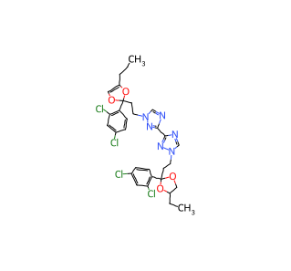 CCCC1=COC(CCn2cnc(-c3ncn(CCC4(c5ccc(Cl)cc5Cl)OCC(CC)O4)n3)n2)(c2ccc(Cl)cc2Cl)O1